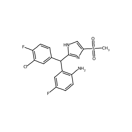 CS(=O)(=O)c1c[nH]c(C(c2ccc(F)c(Cl)c2)c2cc(F)ccc2N)n1